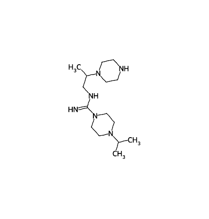 CC(C)N1CCN(C(=N)NCC(C)N2CCNCC2)CC1